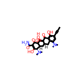 CC#Cc1cc(N(C)C)c2c(c1O)C(=O)C1=C(O)[C@]3(O)C(=O)C(C(N)=O)=C(O)[C@@H](N(C)C)[C@@H]3C[C@@H]1C2